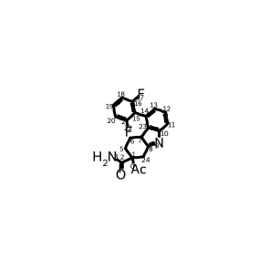 CC(=O)C1(C(N)=O)CCC2C(=Nc3cccc(-c4c(F)cccc4F)c32)C1